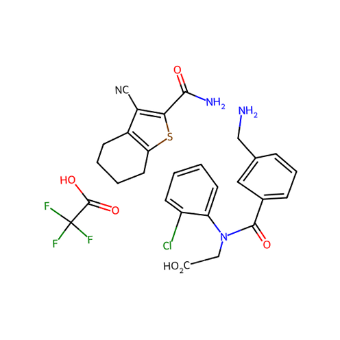 N#Cc1c(C(N)=O)sc2c1CCCC2.NCc1cccc(C(=O)N(CC(=O)O)c2ccccc2Cl)c1.O=C(O)C(F)(F)F